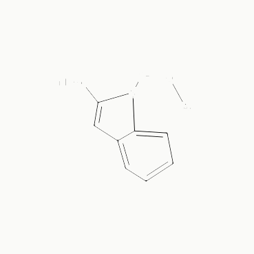 CC(=O)[O-].CCCCCCc1cc2ccccc2[s+]1C(F)(F)F